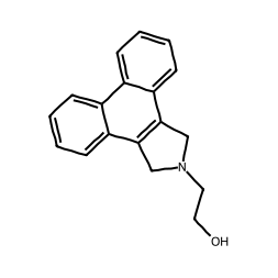 OCCN1Cc2c(c3ccccc3c3ccccc23)C1